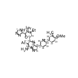 CCCN(C(=O)c1nnc[nH]1)[C@H](CC)CCc1nc2c(-c3ccc(-c4ccc(OC)c(C)c4)nc3)cnn2c(N)c1C(C)=O